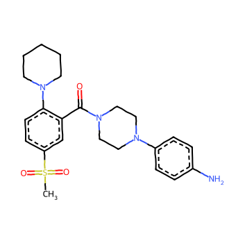 CS(=O)(=O)c1ccc(N2CCCCC2)c(C(=O)N2CCN(c3ccc(N)cc3)CC2)c1